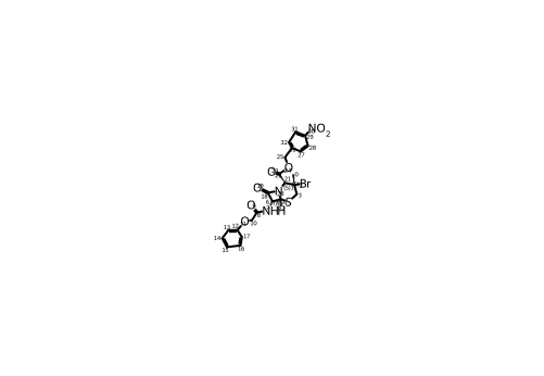 C[C@@]1(Br)CS[C@@H]2[C@H](NC(=O)COc3ccccc3)C(=O)N2[C@H]1C(=O)OCc1ccc([N+](=O)[O-])cc1